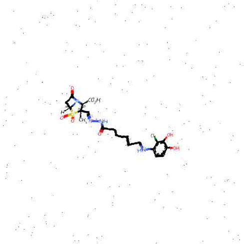 C[C@]1(/C=N/NC(=O)CCCCCNc2ccc(O)c(O)c2Cl)[C@H](C(=O)O)N2C(=O)C[C@H]2S1(=O)=O